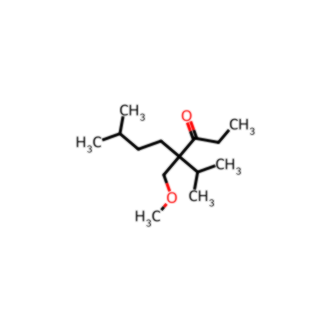 CCC(=O)C(CCC(C)C)(COC)C(C)C